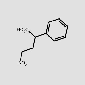 O=C(O)C(CC[N+](=O)[O-])c1ccccc1